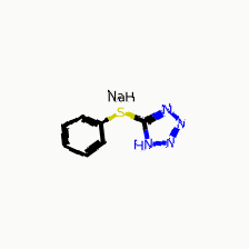 [NaH].c1ccc(Sc2nnn[nH]2)cc1